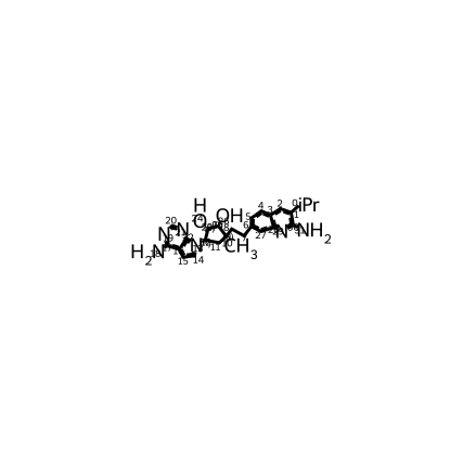 CC(C)c1cc2ccc(CC[C@@]3(C)C[C@@H](n4ccc5c(N)ncnc54)[C@H](O)[C@@H]3O)cc2nc1N